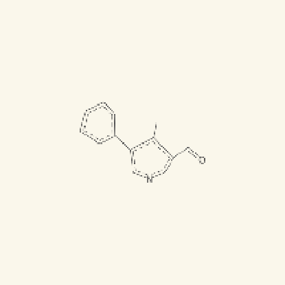 Cc1c(C=O)cncc1-c1ccccc1